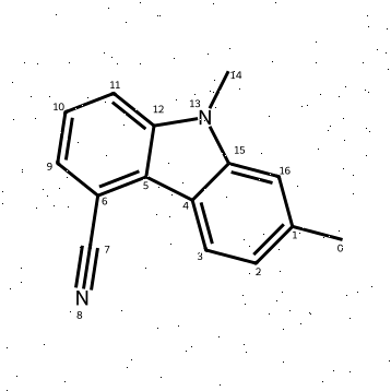 Cc1ccc2c3c(C#N)cccc3n(C)c2c1